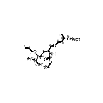 C=CCOP(OC[C@@H](COCC[C@H](C)CCCCCCC)NC(=O)OC(C)(C)C)N(C(C)C)C(C)C